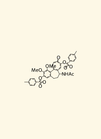 COc1c(OS(=O)(=O)c2ccc(C)cc2)cc2c(c1OC)-c1ccc(=O)c(OS(=O)(=O)c3ccc(C)cc3)cc1C(NC(C)=O)CC2